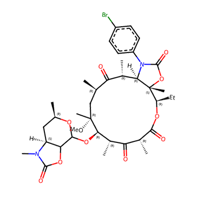 CC[C@H]1OC(=O)[C@H](C)C(=O)[C@H](C)[C@@H](OC2O[C@H](C)C[C@H]3C2OC(=O)N3C)[C@](C)(OC)C[C@@H](C)C(=O)[C@H](C)[C@H]2N(c3ccc(Br)cc3)C(=O)O[C@]12C